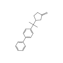 CC(C)(c1ccc(-c2ccccc2)cc1)C1CCC(=O)C1